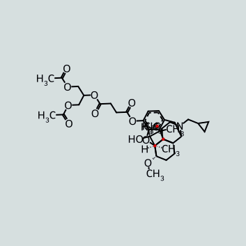 CO[C@@]12CC[C@@]3(C[C@@H]1[C@](C)(O)C(C)(C)C)C1Cc4ccc(OC(=O)CCC(=O)OC(COC(C)=O)COC(C)=O)c5c4[C@@]3(CCN1CC1CC1)[C@]2(C)O5